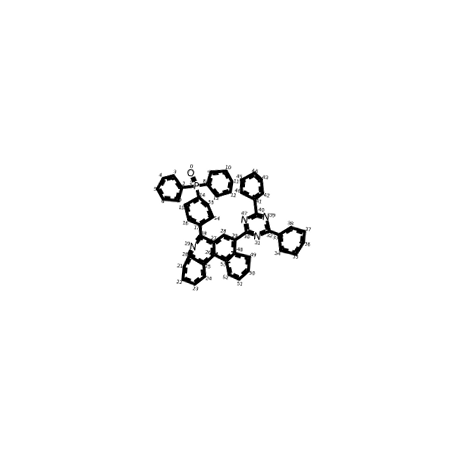 O=P(c1ccccc1)(c1ccccc1)c1ccc(-c2nc3ccccc3c3c2cc(-c2nc(-c4ccccc4)nc(-c4ccccc4)n2)c2ccccc23)cc1